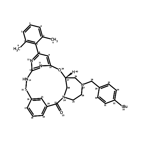 Cc1cccc(C)c1-c1cc2nc(n1)NSc1cccc(c1)C(=O)N1CCN(Cc3ccc(C(C)(C)C)cc3)C[C@H](C1)O2